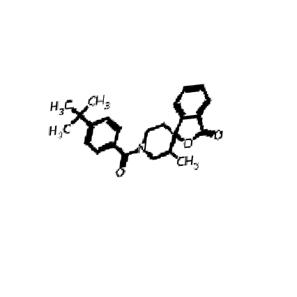 C[C@H]1CN(C(=O)c2ccc(C(C)(C)C)cc2)CC[C@@]12OC(=O)c1ccccc12